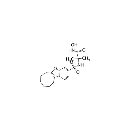 CC(C)(NS(=O)(=O)c1ccc2c3c(oc2c1)CCCCCC3)C(=O)NO